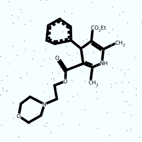 CCOC(=O)C1=C(C)NC(C)=C(C(=O)OCCN2CCOCC2)C1c1ccccc1